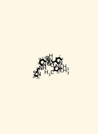 CC1CN(c2ncccc2C(=O)NS(=O)(=O)c2cccc(NCc3nccs3)n2)C(C)(C)C1